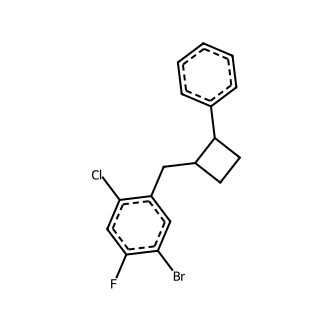 Fc1cc(Cl)c(CC2CCC2c2ccccc2)cc1Br